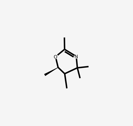 CC1=NC(C)(C)C(C)[C@@H](C)O1